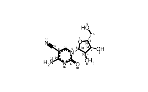 C[C@@H]1[C@H](O)[C@@H](CO)O[C@H]1n1cc(C#N)c(N)nc1=O